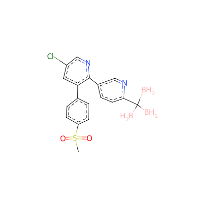 BC(B)(B)c1ccc(-c2ncc(Cl)cc2-c2ccc(S(C)(=O)=O)cc2)cn1